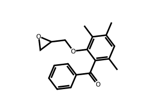 Cc1cc(C)c(C(=O)c2ccccc2)c(OCC2CO2)c1C